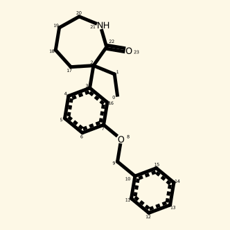 CCC1(c2cccc(OCc3ccccc3)c2)CCCCNC1=O